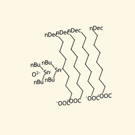 CCCCCCCCCCCCCCCCCC(=O)[O-].CCCCCCCCCCCCCCCCCC(=O)[O-].CCCCCCCCCCCCCCCCCC(=O)[O-].CCCCCCCCCCCCCCCCCC(=O)[O-].CCC[CH2][Sn][CH2]CCC.CCC[CH2][Sn][CH2]CCC.[O-2]